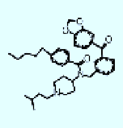 CCCCCc1ccc(C(=O)N(Cc2cccc(C(=O)c3ccc4c(c3)OCO4)c2)C2CCN(CCC(C)C)CC2)cc1